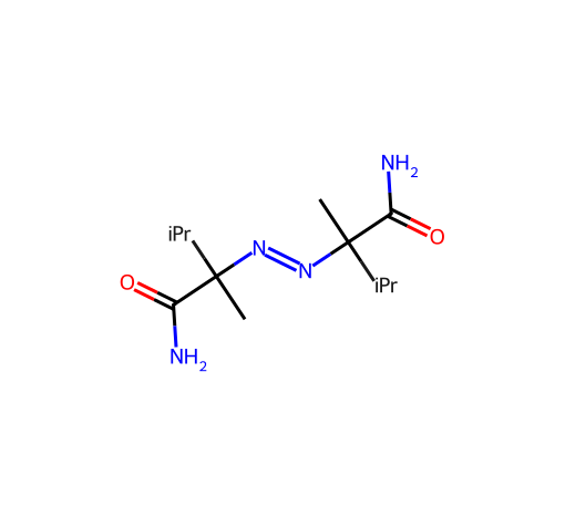 CC(C)C(C)(N=NC(C)(C(N)=O)C(C)C)C(N)=O